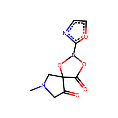 CN1CC(=O)C2(C1)OB(c1ncco1)OC2=O